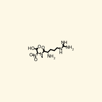 CN(C(=O)[C@@H](N)CCCNC(=N)N)[C@H](C(=O)O)[N+](=O)[O-]